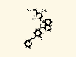 COCC(=O)N(C)C[C@@H](C)Oc1cccc2ncnc(Nc3ccc(OCc4ccccn4)c(Cl)c3)c12